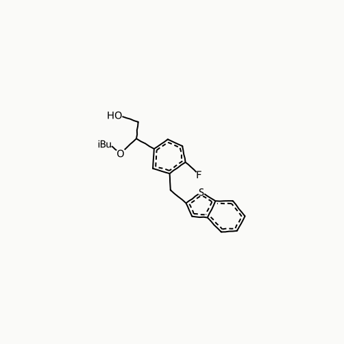 CCC(C)OC(CO)c1ccc(F)c(Cc2cc3ccccc3s2)c1